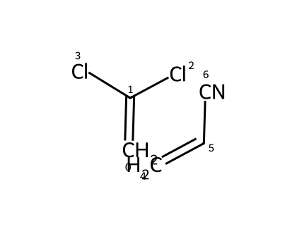 C=C(Cl)Cl.C=CC#N